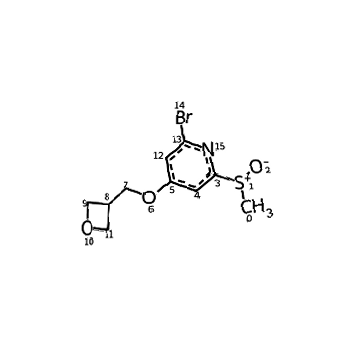 C[S+]([O-])c1cc(OCC2COC2)cc(Br)n1